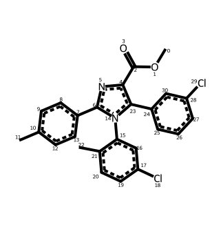 COC(=O)c1nc(-c2ccc(C)cc2)n(-c2cc(Cl)ccc2C)c1-c1cccc(Cl)c1